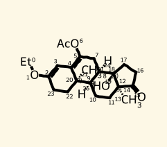 CCOC1=CC2=C(OC(C)=O)C[C@@H]3[C@@H](CC[C@]4(C)C(=O)CC[C@@]34O)[C@@]2(C)CC1